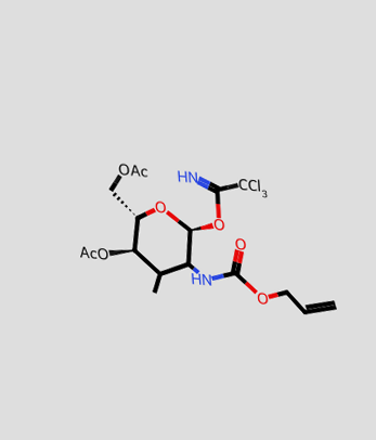 C=CCOC(=O)NC1C(C)[C@@H](OC(C)=O)[C@H](COC(C)=O)O[C@H]1OC(=N)C(Cl)(Cl)Cl